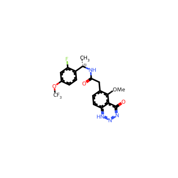 COc1c(CC(=O)N[C@@H](C)c2ccc(OC(F)(F)F)cc2F)ccc2[nH]nnc(=O)c12